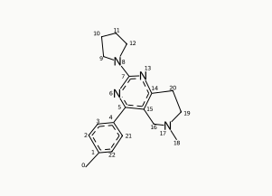 Cc1ccc(-c2nc(N3CCCC3)nc3c2CN(C)CC3)cc1